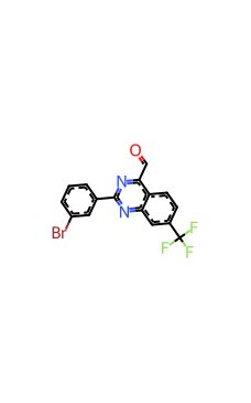 O=Cc1nc(-c2cccc(Br)c2)nc2cc(C(F)(F)F)ccc12